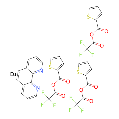 O=C(OC(=O)C(F)(F)F)c1cccs1.O=C(OC(=O)C(F)(F)F)c1cccs1.O=C(OC(=O)C(F)(F)F)c1cccs1.[Eu].c1cnc2c(c1)ccc1cccnc12